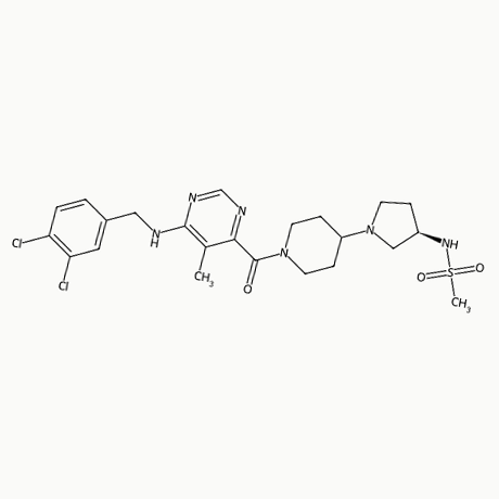 Cc1c(NCc2ccc(Cl)c(Cl)c2)ncnc1C(=O)N1CCC(N2CC[C@@H](NS(C)(=O)=O)C2)CC1